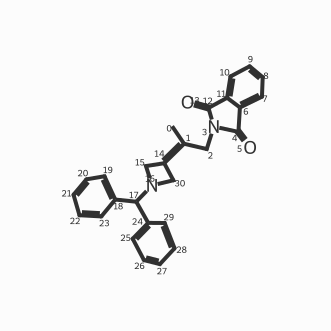 CC(CN1C(=O)c2ccccc2C1=O)=C1CN(C(c2ccccc2)c2ccccc2)C1